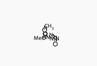 COc1cc2c(cc1Nc1ncc3cnn(C4CCCCC4)c3n1)CN(C)CC2